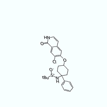 CC(C)(C)[S+]([O-])NC1(c2ccccc2)CCC(Oc2cc3cc[nH]c(=O)c3cc2Cl)CC1